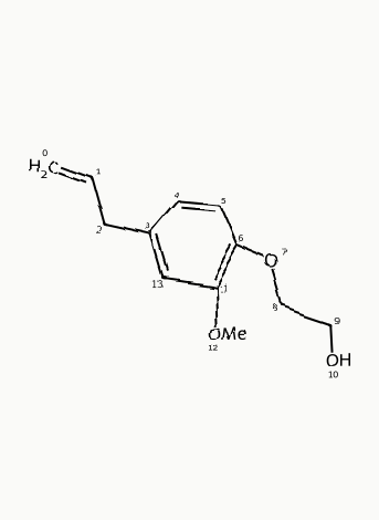 C=CCc1ccc(OCCO)c(OC)c1